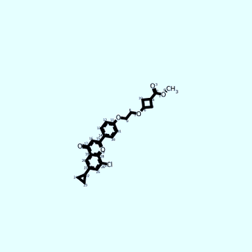 COC(=O)C1CC(OCCOc2ccc(-c3cc(=O)c4cc(C5CC5)cc(Cl)c4o3)cc2)C1